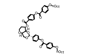 CCCCCCCCOc1ccc(C(=O)Oc2ccc(C(=O)O[C@@H]3CCO[C@@H]4CO[C@@H](c5ccc(OC(=O)c6ccc(OCCCCCCCC)cc6)cc5)O[C@H]43)cc2)cc1